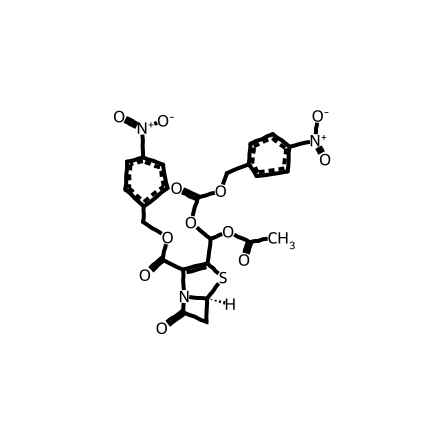 CC(=O)OC(OC(=O)OCc1ccc([N+](=O)[O-])cc1)C1=C(C(=O)OCc2ccc([N+](=O)[O-])cc2)N2C(=O)C[C@@H]2S1